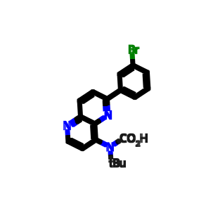 CC(C)(C)N(C(=O)O)c1ccnc2ccc(-c3cccc(Br)c3)nc12